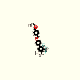 CCCOCC1CCC(COC2CCC(c3ccc(C)c(C(F)F)c3F)CC2)CC1